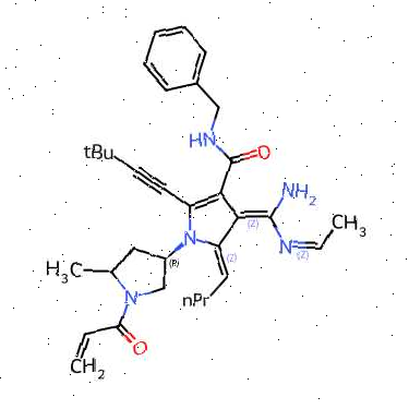 C=CC(=O)N1C[C@H](n2c(C#CC(C)(C)C)c(C(=O)NCc3ccccc3)c(=C(N)/N=C\C)/c2=C/CCC)CC1C